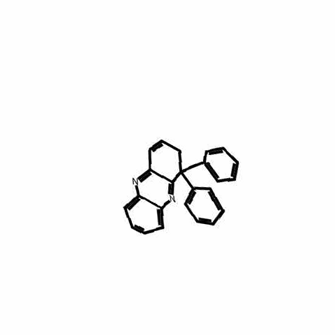 C1=Cc2nc3ccccc3nc2C(c2ccccc2)(c2ccccc2)C1